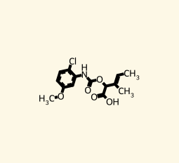 CC=C(C)C(OC(=O)Nc1cc(OC)ccc1Cl)C(=O)O